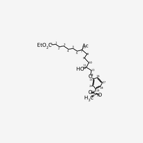 CCOC(=O)CCCCCCC(CCCC(O)COc1cccc(S(C)(=O)=O)c1)C(C)=O